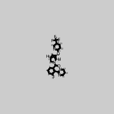 O=C(c1cccc(F)c1-c1ncccn1)N1C[C@H]2C[C@@H](Oc3ccc(C(F)(F)F)cn3)[C@@H]1C2